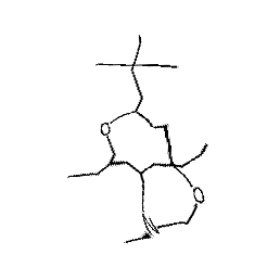 CC1OC(C(C)(C)C)CC2(C)OCN(C)C12